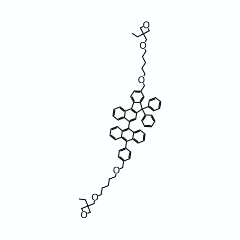 CCC1(COCCCCCOCc2ccc(-c3c4ccccc4c(-c4cc5c(c6ccccc46)-c4ccc(COCCCCCOCC6(CC)COC6)cc4C5(c4ccccc4)c4ccccc4)c4ccccc34)cc2)COC1